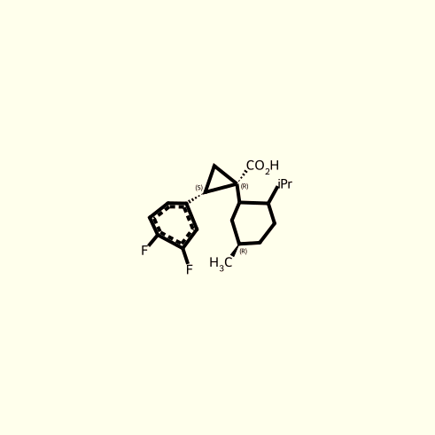 CC(C)C1CC[C@@H](C)CC1[C@]1(C(=O)O)C[C@H]1c1ccc(F)c(F)c1